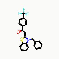 O=C(/C=C1\Sc2ccccc2N1Cc1ccccc1)c1ccc(C(F)(F)F)cc1